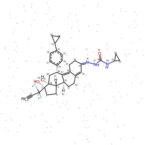 C#CC(F)(F)[C@]1(O)CC[C@H]2[C@@H]3CCC4=C/C(=N\NC(=O)NC5CC5)CCC4=C3[C@@H](c3ccc(C4CC4)cc3)C[C@@]21C